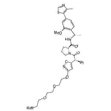 CNCCOCCOCCOc1cc([C@@H](C(=O)N2CCC[C@H]2C(=O)N[C@@H](C)c2ccc(-c3scnc3C)cc2OC)C(C)C)on1